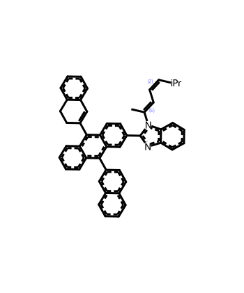 C/C(=C\C=C/C(C)C)n1c(-c2ccc3c(C4=Cc5ccccc5CC4)c4ccccc4c(-c4ccc5ccccc5c4)c3c2)nc2ccccc21